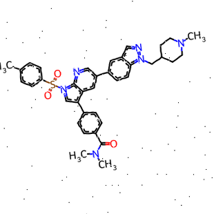 Cc1ccc(S(=O)(=O)n2cc(-c3ccc(C(=O)N(C)C)cc3)c3cc(-c4ccc5c(cnn5CC5CCN(C)CC5)c4)cnc32)cc1